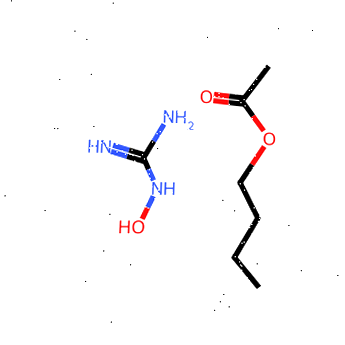 CCCCOC(C)=O.N=C(N)NO